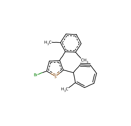 CC1=CC=CC#CC1c1sc(Br)cc1-c1c(C)cccc1C